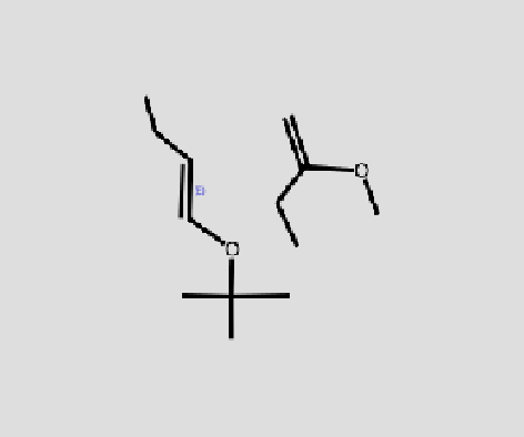 C=C(CC)OC.CC/C=C/OC(C)(C)C